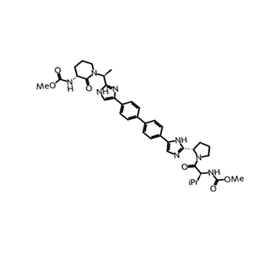 COC(=O)N[C@H](C(=O)N1CCC[C@H]1c1ncc(-c2ccc(-c3ccc(-c4c[nH]c([C@H](C)N5CCC[C@@H](NC(=O)OC)C5=O)n4)cc3)cc2)[nH]1)C(C)C